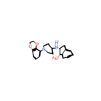 O[C@@H]1c2ccccc2C[C@H]1NC1CCN(c2cccc3c2OCCO3)CC1